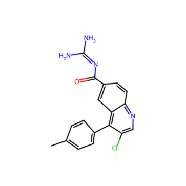 Cc1ccc(-c2c(Cl)cnc3ccc(C(=O)N=C(N)N)cc23)cc1